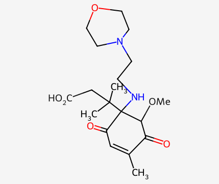 COC1C(=O)C(C)=CC(=O)C1(NCCN1CCOCC1)C(C)(C)CC(=O)O